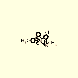 Cc1ccc(S(=O)(=O)N2Cc3cnc(C)n3-c3ccc(Cl)cc3C2c2ccccc2F)cc1